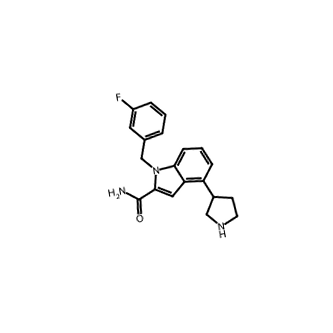 NC(=O)c1cc2c(C3CCNC3)cccc2n1Cc1cccc(F)c1